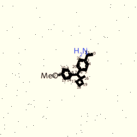 C=C(N)c1ccc(C(c2ccc(OC)cc2)C2(C)CCC2)cc1